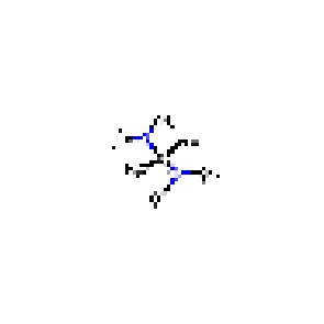 CCCC[Si](C)(N(C)C)N(C)C